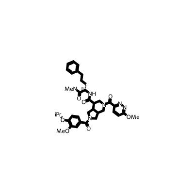 CNC(=O)[C@H](CCCc1ccccc1)NC(=O)C1CN(C(=O)c2ccc(OC)nn2)CC2CN(C(=O)c3ccc(OC(C)C)c(OC)c3)CC21